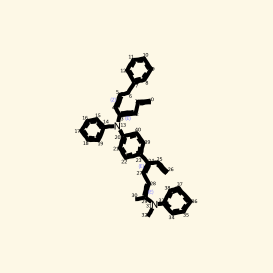 C=C/C=C(\C=C/Cc1ccccc1)N(c1ccccc1)c1ccc(/C(C=C)=C/C=C(\C)N(C)c2ccccc2)cc1